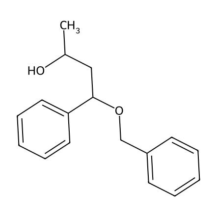 CC(O)CC(OCc1ccccc1)c1ccccc1